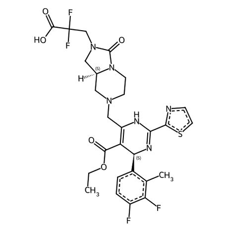 CCOC(=O)C1=C(CN2CCN3C(=O)N(CC(F)(F)C(=O)O)C[C@@H]3C2)NC(c2nccs2)=N[C@H]1c1ccc(F)c(F)c1C